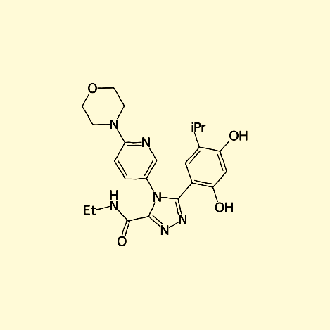 CCNC(=O)c1nnc(-c2cc(C(C)C)c(O)cc2O)n1-c1ccc(N2CCOCC2)nc1